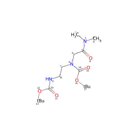 CN(C)C(=O)CN(CCNC(=O)OC(C)(C)C)C(=O)OC(C)(C)C